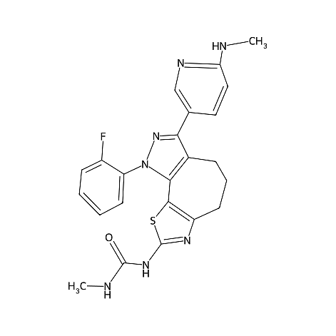 CNC(=O)Nc1nc2c(s1)-c1c(c(-c3ccc(NC)nc3)nn1-c1ccccc1F)CCC2